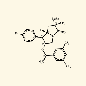 CN[C@@]1(C)C[C@H]2[C@H](c3ccc(F)cc3)[C@@H](O[C@H](C)c3cc(C(F)(F)F)cc(C(F)(F)F)c3)CN2C1=O